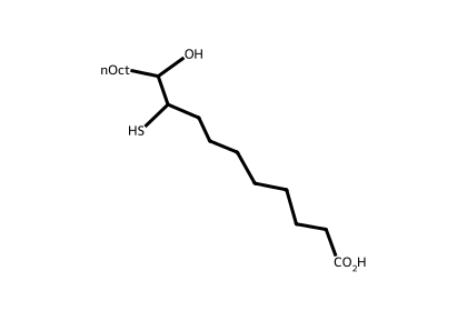 CCCCCCCCC(O)C(S)CCCCCCCC(=O)O